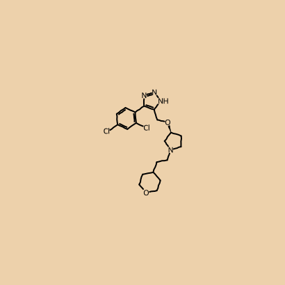 Clc1ccc(-c2nn[nH]c2CO[C@H]2CCN(CCC3CCOCC3)C2)c(Cl)c1